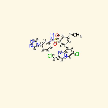 CCc1cc(-c2cc(Cl)cn3cc(CCl)nc23)cc(S(=O)(=O)N[C@H]2CCC[C@@H](n3cnnc3)C2)c1